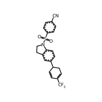 N#Cc1ccc(S(=O)(=O)N2CCc3cc(C4C=CC(C(F)(F)F)=CC4)ccc32)cc1